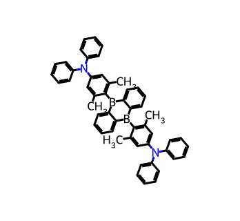 Cc1cc(N(c2ccccc2)c2ccccc2)cc(C)c1B1c2ccccc2B(c2c(C)cc(N(c3ccccc3)c3ccccc3)cc2C)c2ccccc21